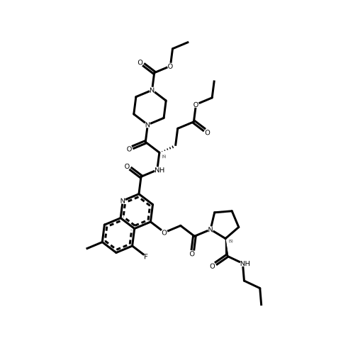 CCCNC(=O)[C@@H]1CCCN1C(=O)COc1cc(C(=O)N[C@@H](CCC(=O)OCC)C(=O)N2CCN(C(=O)OCC)CC2)nc2cc(C)cc(F)c12